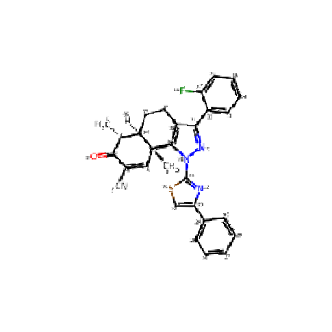 C[C@H]1C(=O)C(C#N)=C[C@@]2(C)c3c(c(-c4ccccc4F)nn3-c3nc(-c4ccccc4)cs3)CC[C@H]12